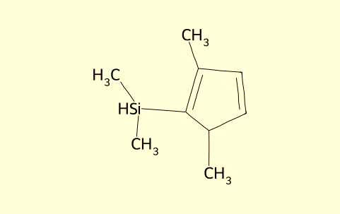 CC1=C([SiH](C)C)C(C)C=C1